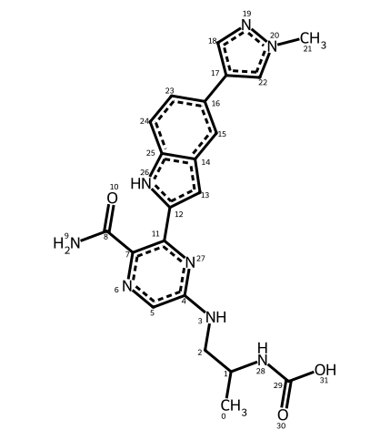 CC(CNc1cnc(C(N)=O)c(-c2cc3cc(-c4cnn(C)c4)ccc3[nH]2)n1)NC(=O)O